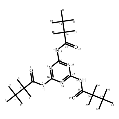 CC(C)(C)C(C)(C)C(=O)Nc1nc(NC(=O)C(C)(C)C(C)(C)C)nc(NC(=O)C(C)(C)C(C)(C)C)n1